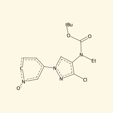 CCN(C(=O)OC(C)(C)C)c1cn(-c2ccc[n+]([O-])c2)nc1Cl